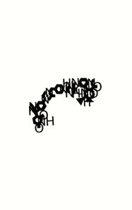 CC1CN(c2ccc3c(C4CCC(=O)NC4=O)nn(C)c3c2)CCN1CC1CCN(c2ncc(Cl)c(Nc3ccc4c(c3)c3c(c(=O)n4C)OCC(F)(F)C(C4CC4)N3)n2)CC1